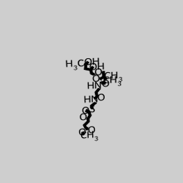 COC(=O)CCC(=O)CC(=O)SCCNC(=O)CCNC(=O)[C@@H]1OC(CC(O)CC(C)O)OCC1(C)C